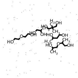 CC(C)(CO)CO.CC(O)CCO.CC(O)CO.CC(O)COC(C)CO.OCCOCCO